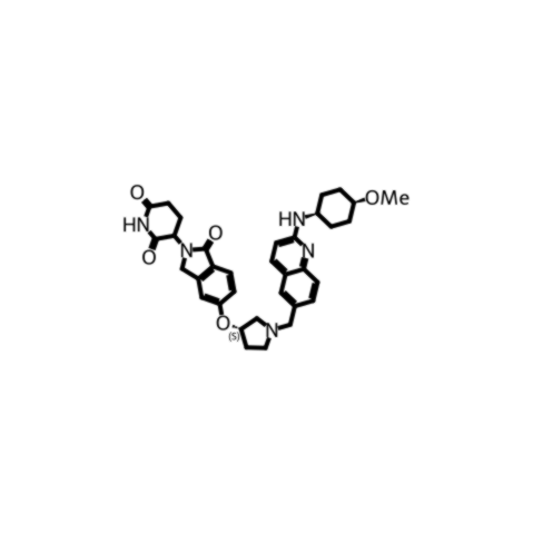 CO[C@H]1CC[C@@H](Nc2ccc3cc(CN4CC[C@H](Oc5ccc6c(c5)CN(C5CCC(=O)NC5=O)C6=O)C4)ccc3n2)CC1